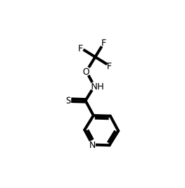 FC(F)(F)ONC(=S)c1cccnc1